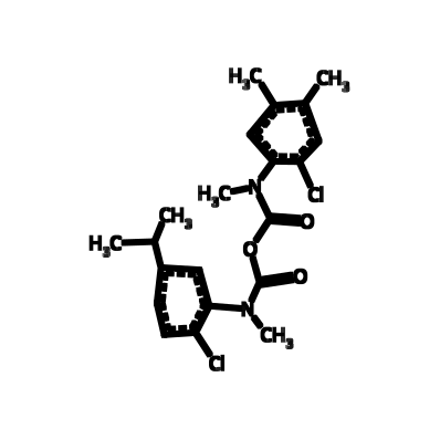 Cc1cc(Cl)c(N(C)C(=O)OC(=O)N(C)c2cc(C(C)C)ccc2Cl)cc1C